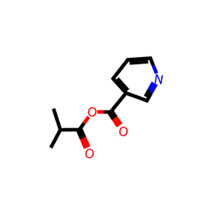 CC(C)C(=O)OC(=O)c1cccnc1